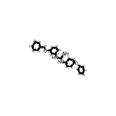 N=C(Nc1ccc(Oc2ccccc2)cc1)Nc1cccc(OCc2ccccc2)c1